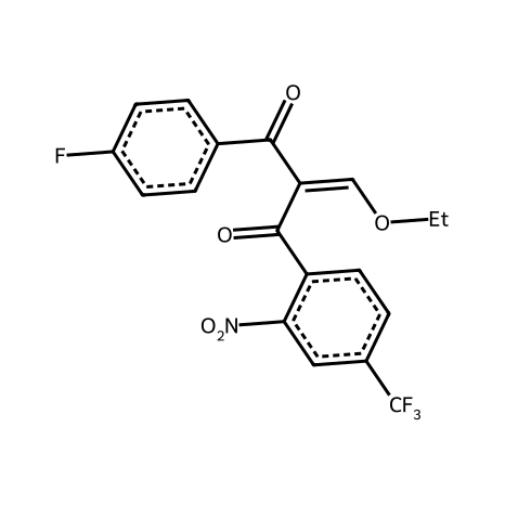 CCO/C=C(/C(=O)c1ccc(F)cc1)C(=O)c1ccc(C(F)(F)F)cc1[N+](=O)[O-]